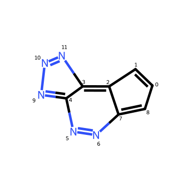 C1=Cc2c3c(nnc2=C1)=NN=N3